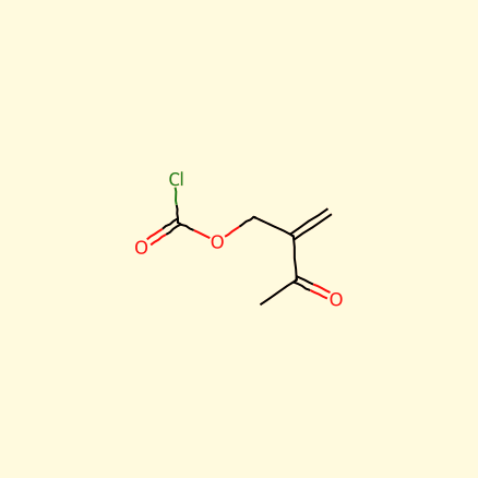 C=C(COC(=O)Cl)C(C)=O